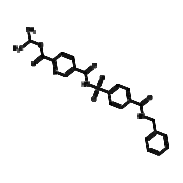 CC(C)OC(=O)c1ccc(C(=O)NS(=O)(=O)c2ccc(C(=O)NCc3ccccc3)cc2)cn1